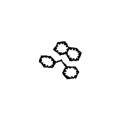 c1ccc(Cc2ccccc2)cc1.c1ccc2ccccc2c1